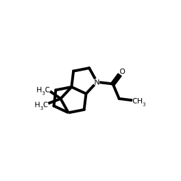 CCC(=O)N1CCC23CCC(CC12)C3(C)C